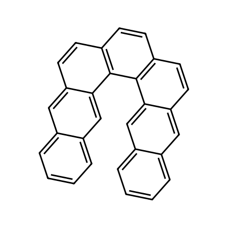 c1ccc2cc3c(ccc4ccc5ccc6cc7ccccc7cc6c5c43)cc2c1